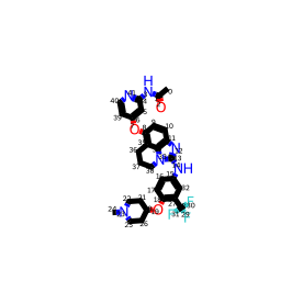 CC(=O)Nc1cc(Oc2ccc3nc(Nc4ccc(OC5CCN(C)CC5)c(C(F)(F)F)c4)n4c3c2CCC4)ccn1